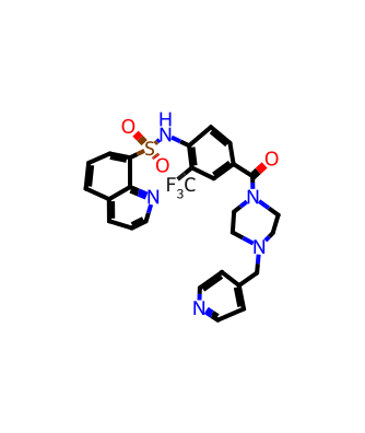 O=C(c1ccc(NS(=O)(=O)c2cccc3cccnc23)c(C(F)(F)F)c1)N1CCN(Cc2ccncc2)CC1